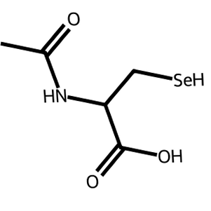 CC(=O)NC(C[SeH])C(=O)O